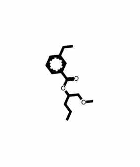 CCCC(COC)OC(=O)c1cccc(CC)c1